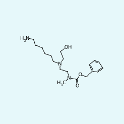 CN(CCN(CCO)CCCCCCN)C(=O)OCc1ccccc1